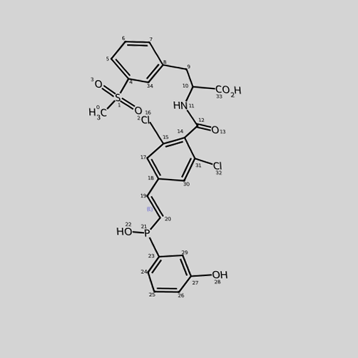 CS(=O)(=O)c1cccc(CC(NC(=O)c2c(Cl)cc(/C=C/P(O)c3cccc(O)c3)cc2Cl)C(=O)O)c1